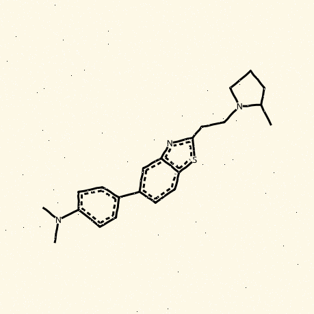 CC1CCCN1CCc1nc2cc(-c3ccc(N(C)C)cc3)ccc2s1